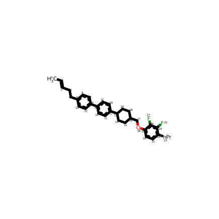 C/C=C/CCc1ccc(-c2ccc(C3CCC(COc4ccc(CCC)c(F)c4F)CC3)cc2)cc1